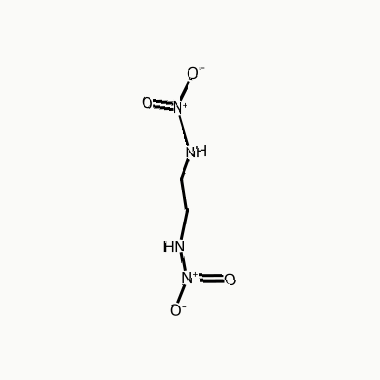 O=[N+]([O-])NCCN[N+](=O)[O-]